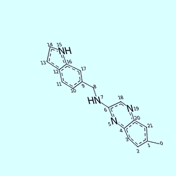 Cc1ccc2nc(NCc3ccc4cc[nH]c4c3)cnc2c1